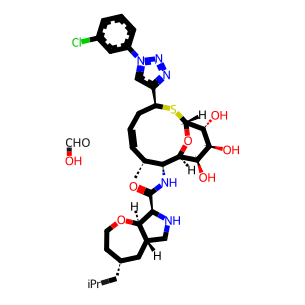 CC(C)C[C@@H]1CCO[C@@H]2[C@H](CN[C@@H]2C(=O)N[C@H]2[C@H]3O[C@H](S[C@H](c4cn(-c5cccc(Cl)c5)nn4)CC=C[C@H]2C)[C@H](O)[C@@H](O)[C@H]3O)C1.O=CO